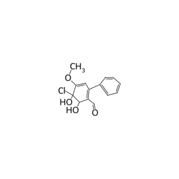 COC1=CC(c2ccccc2)=C(C=O)C(O)C1(O)Cl